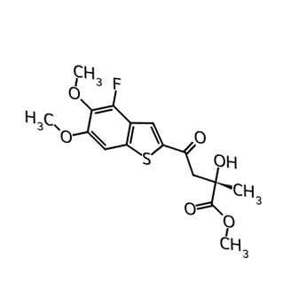 COC(=O)[C@@](C)(O)CC(=O)c1cc2c(F)c(OC)c(OC)cc2s1